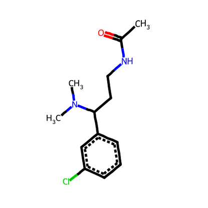 CC(=O)NCCC(c1cccc(Cl)c1)N(C)C